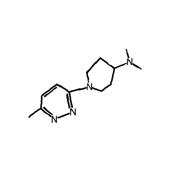 Cc1ccc(N2CCC(N(C)C)CC2)nn1